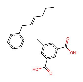 CCCC=CCc1ccccc1.Cc1cc(C(=O)O)cc(C(=O)O)c1